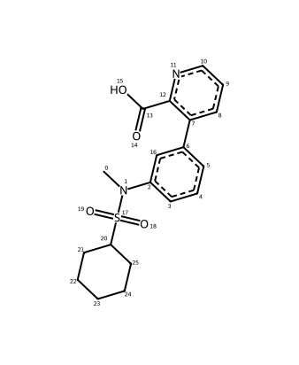 CN(c1cccc(-c2cccnc2C(=O)O)c1)S(=O)(=O)C1CCCCC1